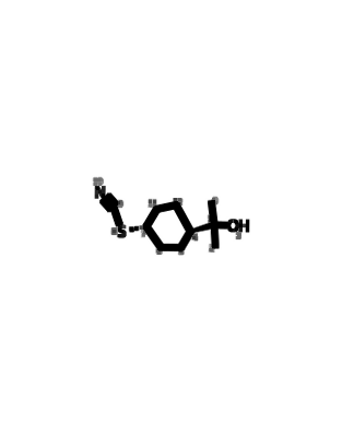 CC(C)(O)[C@H]1CC[C@H](SC#N)CC1